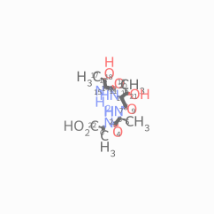 C[C@H](NC(=O)[C@H](C)NC(=O)[C@@H](NC(=O)[C@@H](N)[C@@H](C)O)[C@@H](C)O)C(=O)O